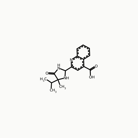 CC(C)C1(C)NC(c2cc(C(=O)O)c3ccccc3n2)NC1=O